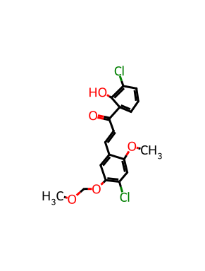 COCOc1cc(C=CC(=O)c2cccc(Cl)c2O)c(OC)cc1Cl